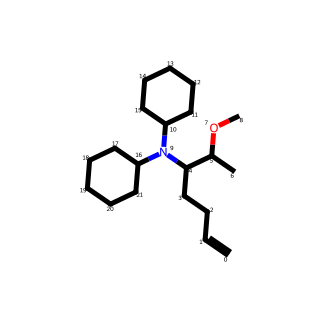 C=CCCC(C(C)OC)N(C1CCCCC1)C1CCCCC1